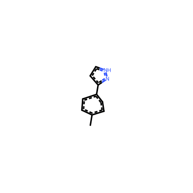 Cc1ccc(-c2cc[nH]n2)cc1